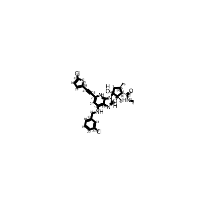 CNC(=O)[C@H]1[C@H](C)C[C@](O)(n2cnc3c(NCc4cccc(Cl)c4)cc(C#Cc4ccc(Cl)s4)nc32)[C@@]1(C)O